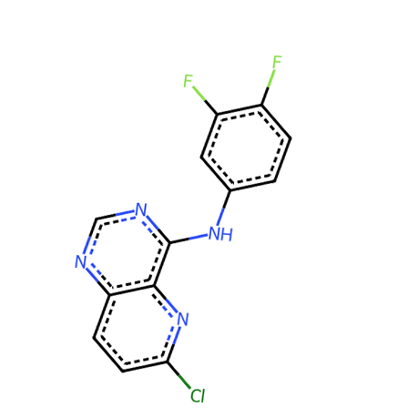 Fc1ccc(Nc2ncnc3ccc(Cl)nc23)cc1F